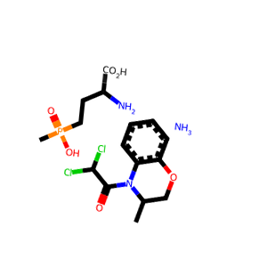 CC1COc2ccccc2N1C(=O)C(Cl)Cl.CP(=O)(O)CCC(N)C(=O)O.N